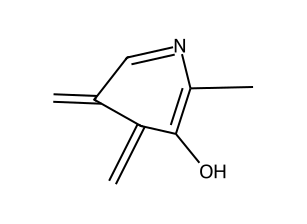 C=c1cnc(C)c(O)c1=C